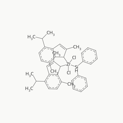 CC1=Cc2c(C(C)C)ccc(C)c2[CH]1[Zr]([Cl])([Cl])([CH]1C(C)=Cc2c(C(C)C)ccc(C)c21)[SiH](c1ccccc1)c1ccccc1